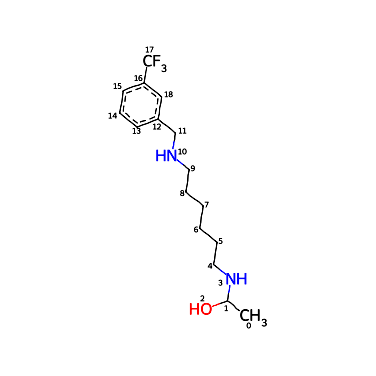 CC(O)NCCCCCCNCc1cccc(C(F)(F)F)c1